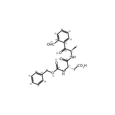 C[C@@H](NC(=O)[C@H](CC(=O)O)NC(=O)OCc1ccccc1)C(=O)c1ccccc1[C]=O